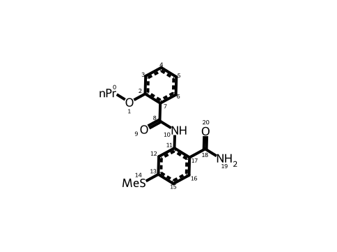 CCCOc1ccccc1C(=O)Nc1cc(SC)ccc1C(N)=O